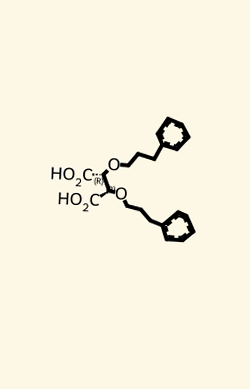 O=C(O)[C@H](OCCCc1ccccc1)[C@@H](OCCCc1ccccc1)C(=O)O